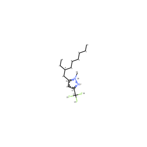 CCCCCCC(CC)Cc1cc(C(F)(F)F)nn1C